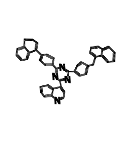 c1ccc2c(Cc3ccc(-c4nc(-c5ccc(-c6cccc7ccccc67)cc5)nc(-c5ccnc6ccccc56)n4)cc3)cccc2c1